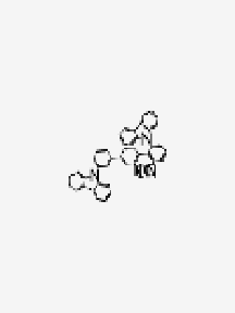 N#Cc1cc(-c2cccc(-n3c4ccccc4c4ccccc43)c2)ccc1-c1c(C#N)cccc1-n1c2ccccc2c2ccccc21